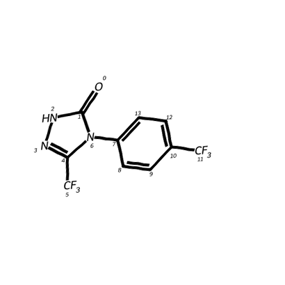 O=c1[nH]nc(C(F)(F)F)n1-c1ccc(C(F)(F)F)cc1